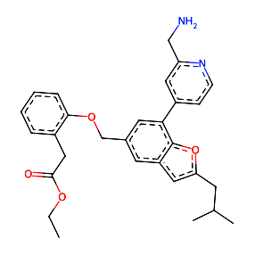 CCOC(=O)Cc1ccccc1OCc1cc(-c2ccnc(CN)c2)c2oc(CC(C)C)cc2c1